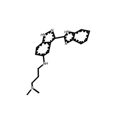 CN(C)CCCNc1ccc2[nH]nc(-c3nc4ccccc4[nH]3)c2c1